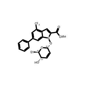 CC[C@H]1O[C@H](On2c(C(=O)OC)cc3c(C(F)(F)F)cc(-c4ccccc4)cc32)C=C[C@@H]1O